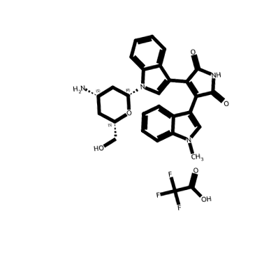 Cn1cc(C2=C(c3cn([C@H]4C[C@@H](N)C[C@@H](CO)O4)c4ccccc34)C(=O)NC2=O)c2ccccc21.O=C(O)C(F)(F)F